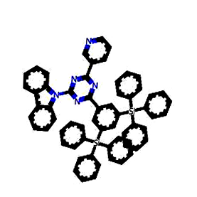 c1ccc([Si](c2ccccc2)(c2ccccc2)c2cc(-c3nc(-c4cccnc4)nc(-n4c5ccccc5c5ccccc54)n3)cc([Si](c3ccccc3)(c3ccccc3)c3ccccc3)c2)cc1